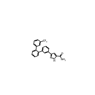 NC(=O)c1cc(-c2cccc(-c3ccccc3-c3cccc(C(F)(F)F)c3)c2)n[nH]1